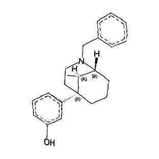 C[C@H]1[C@H]2CCC[C@@]1(c1cccc(O)c1)CCN2Cc1ccccc1